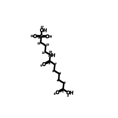 O=C(O)CCCCCC(=O)NCCCS(=O)(=O)O